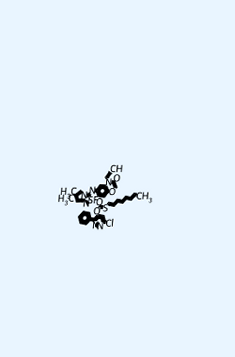 C#CCN1C(=O)COc2cc(F)c(/N=c3\snc4n3CC(C)(C)C4)cc21.CCCCCCCCSC(=O)Oc1cc(Cl)nnc1-c1ccccc1